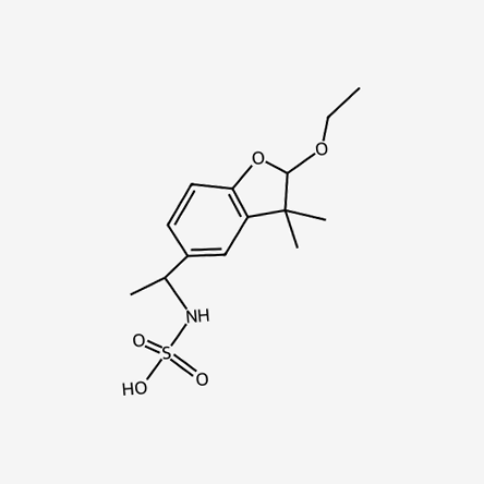 CCOC1Oc2ccc(C(C)NS(=O)(=O)O)cc2C1(C)C